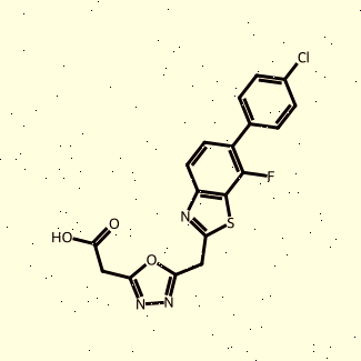 O=C(O)Cc1nnc(Cc2nc3ccc(-c4ccc(Cl)cc4)c(F)c3s2)o1